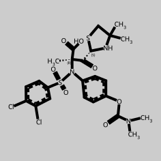 CN(C)C(=O)Oc1ccc(N([C@@](C)(C(=O)O)C(=O)[C@H]2NC(C)(C)CS2)S(=O)(=O)c2ccc(Cl)c(Cl)c2)cc1